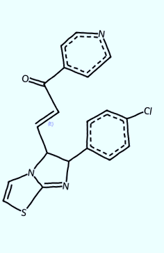 O=C(/C=C/C1C(c2ccc(Cl)cc2)N=C2SC=CN21)c1ccncc1